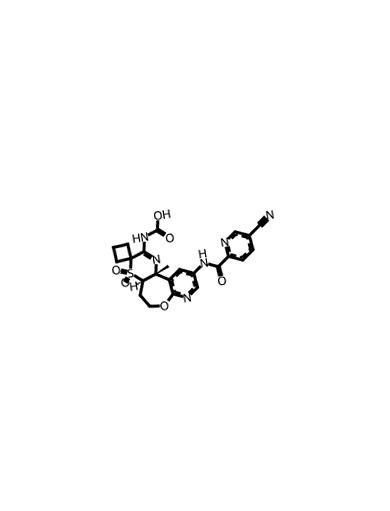 C[C@]12N=C(NC(=O)O)C3(CCC3)S(=O)(=O)[C@@H]1CCOc1ncc(NC(=O)c3ccc(C#N)cn3)cc12